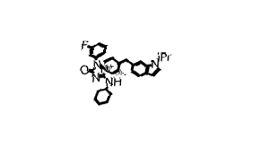 CC(C)n1ccc2ccc(CC3CC[N@@+]4(C[C@H]3C)C(NC3CCCCC3)=NC(=O)N4c3cccc(F)c3)cc21